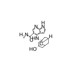 NC(=O)c1cnc2[nH]ccc2c1N[C@]12CC3C[C@@H](C[C@@](O)(C3)C1)C2